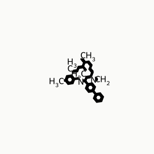 C=CC(=C\C=C/C)/C(/C=C\C=C\C(=C\C(=N/Cc1ccc(C)cc1)c1ccc(-c2ccccc2)cc1)N=C)=C/C